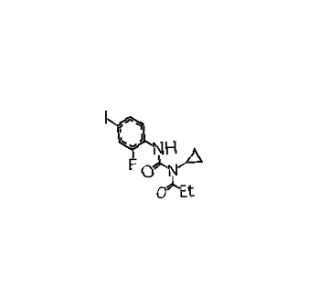 CCC(=O)N(C(=O)Nc1ccc(I)cc1F)C1CC1